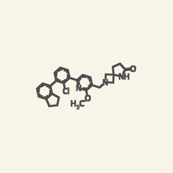 COc1nc(-c2cccc(-c3cccc4c3CCC4)c2Cl)ccc1CN1CC2(CCC(=O)N2)C1